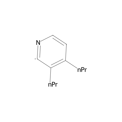 CCCc1[c]nccc1CCC